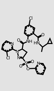 CC(NC(=O)c1cc(Cl)ccc1NC(=O)C1CC(S(=O)(=O)Oc2ccccn2)=NN1c1ncccc1Cl)C1CC1